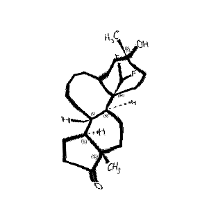 C[C@@]1(O)CC[C@@]2(C(F)F)C(CC[C@@H]3[C@@H]2CC[C@]2(C)C(=O)CC[C@@H]32)C1